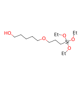 CCO[Si](CCCOCCCCCO)(OCC)OCC